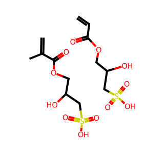 C=C(C)C(=O)OCC(O)CS(=O)(=O)O.C=CC(=O)OCC(O)CS(=O)(=O)O